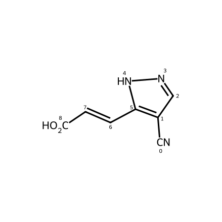 N#Cc1cn[nH]c1/C=C/C(=O)O